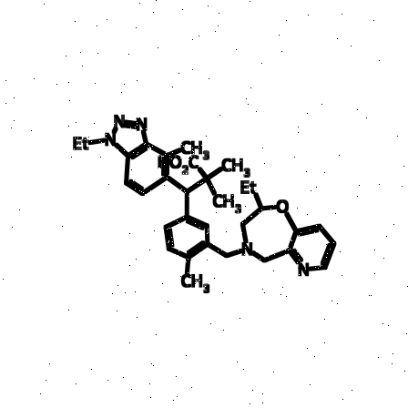 CCC1CN(Cc2cc(C(c3ccc4c(nnn4CC)c3C)C(C)(C)C(=O)O)ccc2C)Cc2ncccc2O1